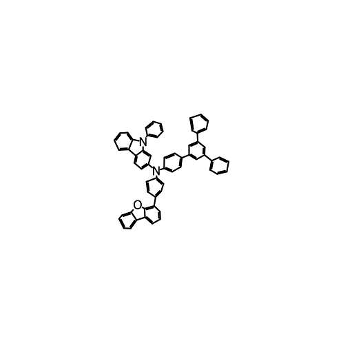 c1ccc(-c2cc(-c3ccccc3)cc(-c3ccc(N(c4ccc(-c5cccc6c5oc5ccccc56)cc4)c4ccc5c6ccccc6n(-c6ccccc6)c5c4)cc3)c2)cc1